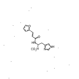 O=C(C=Cc1ccco1)NC(Cc1c[nH]cn1)C(=O)O